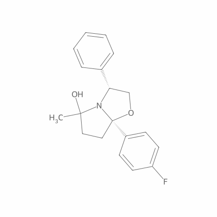 CC1(O)CC[C@]2(c3ccc(F)cc3)OC[C@@H](c3ccccc3)N12